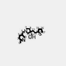 Cc1ccc(CN2CC[C@](CO)(CCc3cccs3)C2)cn1